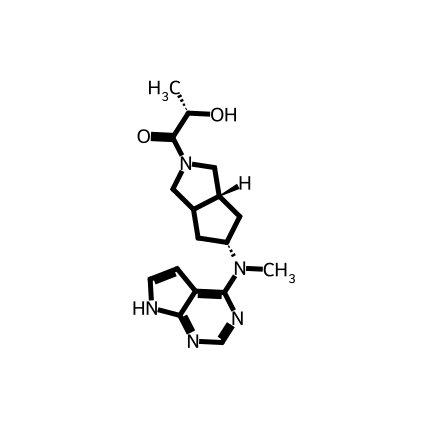 C[C@H](O)C(=O)N1CC2C[C@@H](N(C)c3ncnc4[nH]ccc34)C[C@H]2C1